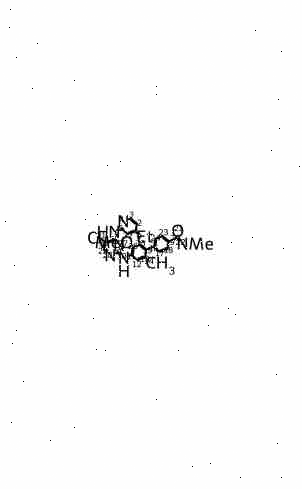 CCc1ccnc(Nc2nc(Nc3cc(C)c(-c4ccc(C(=O)NC)cc4)cc3OC)ncc2Cl)c1